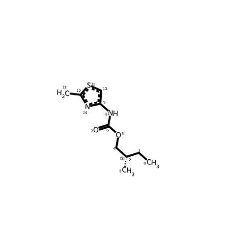 CC[C@H](C)COC(=O)Nc1csc(C)n1